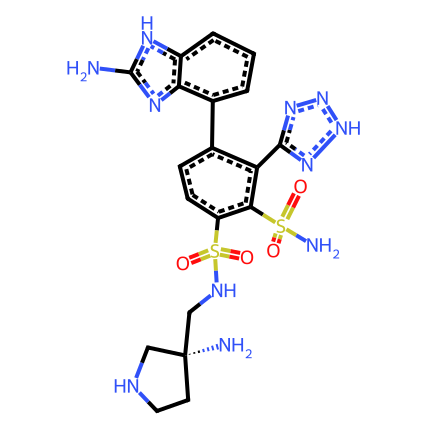 Nc1nc2c(-c3ccc(S(=O)(=O)NC[C@@]4(N)CCNC4)c(S(N)(=O)=O)c3-c3nn[nH]n3)cccc2[nH]1